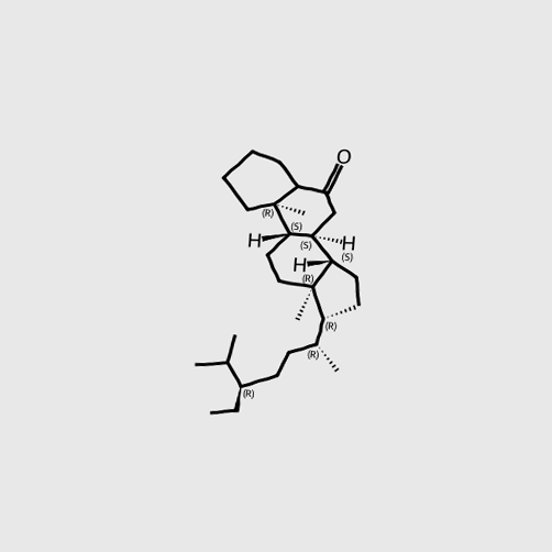 CC[C@H](CC[C@@H](C)[C@H]1CC[C@H]2[C@@H]3CC(=O)C4CCCC[C@]4(C)[C@H]3CC[C@]12C)C(C)C